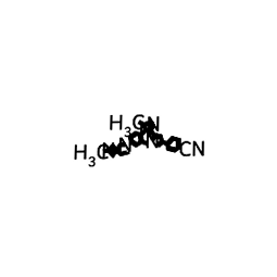 Cc1cnc2n1-c1ccc(N3CCC4(CN(C)C4)C3)cc1Cn1cc(-c3ccc(C#N)cc3)cc1-2